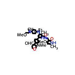 CCN(c1cc(-c2ccc(C3(C=O)CCOCC3)c(NC)c2)cc(C(=O)NCc2c(OC)cc(C)[nH]c2=O)c1C)C1CCC(N(C)CCOC)CC1